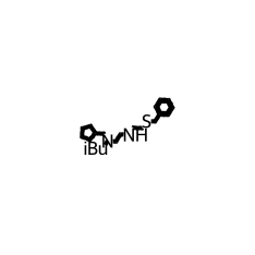 CCC(C)N(CCNCCSCc1ccccc1)CC1CCCC1